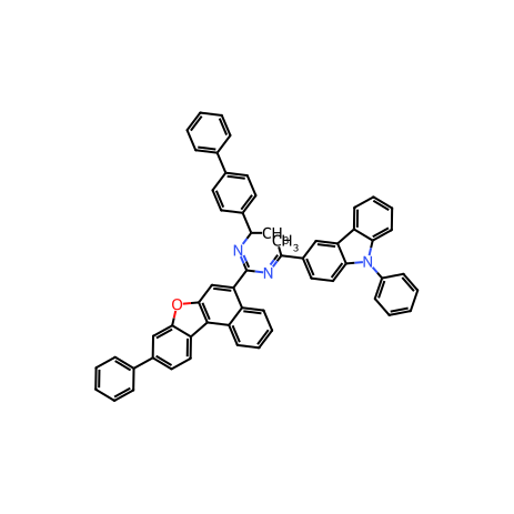 C/C(=N\C(=N/C(C)c1ccc(-c2ccccc2)cc1)c1cc2oc3cc(-c4ccccc4)ccc3c2c2ccccc12)c1ccc2c(c1)c1ccccc1n2-c1ccccc1